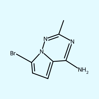 Cc1nc(N)c2ccc(Br)n2n1